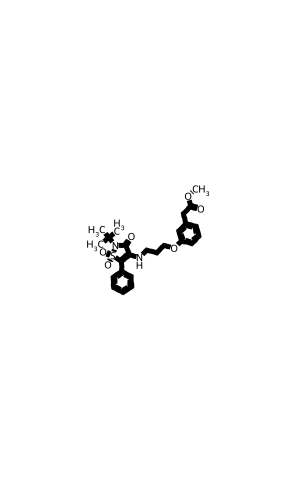 COC(=O)Cc1cccc(OCCCNC2=C(c3ccccc3)S(=O)(=O)N(C(C)(C)C)C2=O)c1